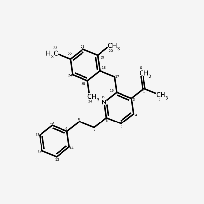 C=C(C)c1ccc(CCc2ccccc2)nc1Cc1c(C)cc(C)cc1C